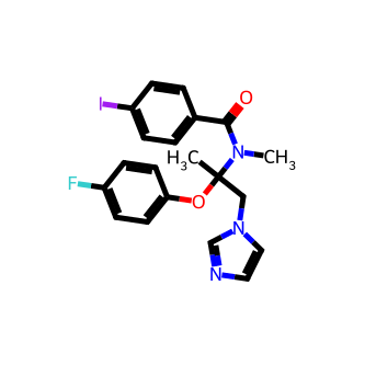 CN(C(=O)c1ccc(I)cc1)C(C)(Cn1ccnc1)Oc1ccc(F)cc1